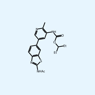 CCC(CC)OC(=O)Nc1cc(-c2ccc3nc(NC(C)=O)sc3c2)cnc1C